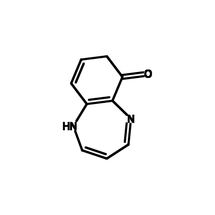 O=C1CC=CC2=C1N=CC=CN2